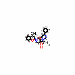 C[C@H](CC(=O)N1CCC(O)([C@@H](C)n2cnc(-c3ccccc3)cc2=O)CC1)c1ccccc1